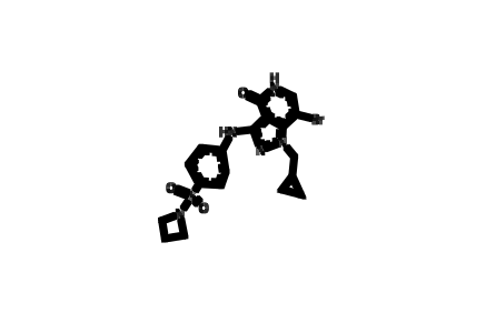 O=c1[nH]cc(Br)c2c1c(Nc1ccc(S(=O)(=O)N3CCC3)cc1)nn2CC1CC1